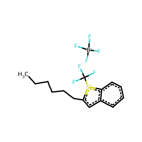 CCCCCCc1cc2ccccc2[s+]1C(F)(F)F.F[B-](F)(F)F